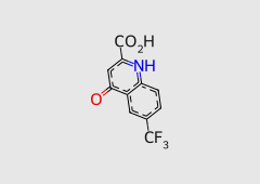 O=C(O)c1cc(=O)c2cc(C(F)(F)F)ccc2[nH]1